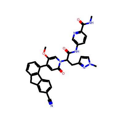 CNC(=O)c1ccc(NC(=O)C(Cc2ccn(C)n2)n2cc(OC)c(-c3cccc4c3-c3ccc(C#N)cc3C4)cc2=O)cn1